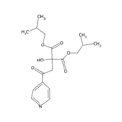 CC(C)COC(=O)C(O)(CC(=O)c1ccncc1)C(=O)OCC(C)C